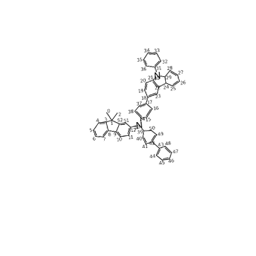 CC1(C)c2ccccc2-c2ccc(N(c3ccc(-c4ccc5c(c4)C4C=CC=CC4N5c4ccccc4)cc3)C3C=CC(c4ccccc4)=CC3)cc21